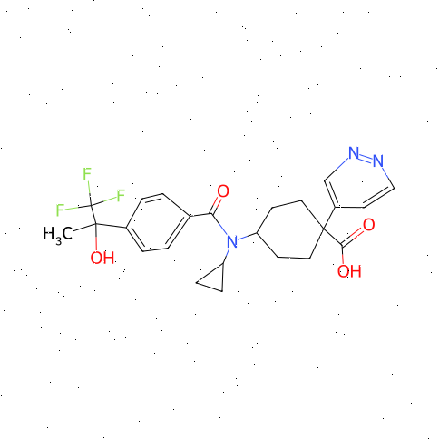 CC(O)(c1ccc(C(=O)N(C2CC2)C2CCC(C(=O)O)(c3ccnnc3)CC2)cc1)C(F)(F)F